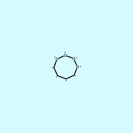 C1CCOOOOC1